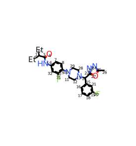 CCC(CC)C(=O)Nc1ccc(N2CCN(C(c3cccc(F)c3)c3nnc(C)o3)CC2)c(F)c1